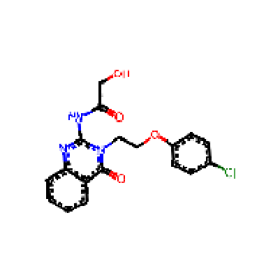 O=C(CO)Nc1nc2ccccc2c(=O)n1CCOc1ccc(Cl)cc1